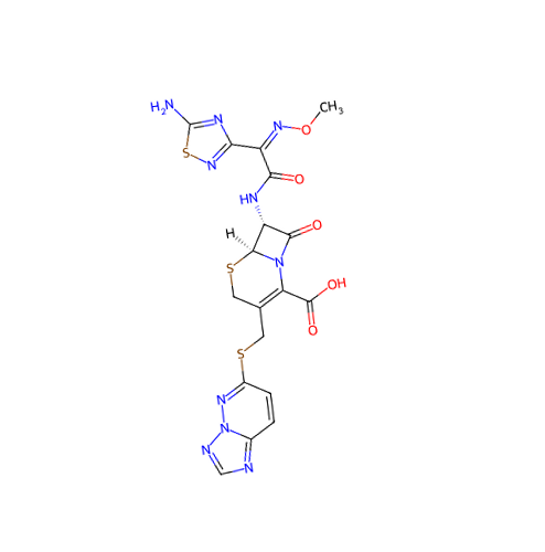 CO/N=C(\C(=O)N[C@@H]1C(=O)N2C(C(=O)O)=C(CSc3ccc4ncnn4n3)CS[C@@H]12)c1nsc(N)n1